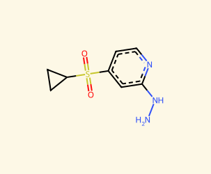 NNc1cc(S(=O)(=O)C2CC2)ccn1